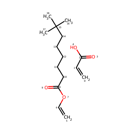 C=CC(=O)O.C=COC(=O)CCCCCC(C)(C)C